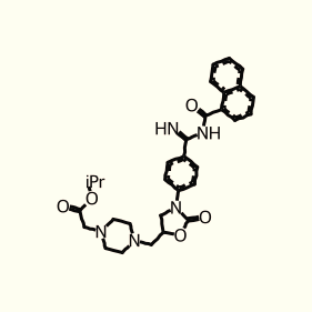 CC(C)OC(=O)CN1CCN(CC2CN(c3ccc(C(=N)NC(=O)c4cccc5ccccc45)cc3)C(=O)O2)CC1